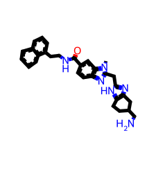 Cn1c(Cc2nc3c([nH]2)CCC(CN)C3)nc2ccc(C(=O)NCCc3cccc4ccccc34)cc21